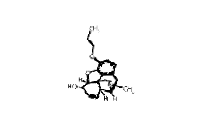 CCCOc1ccc2c3c1O[C@H]1[C@@H](O)C=C[C@H]4[C@@H](C2)N(C)CC[C@@]341